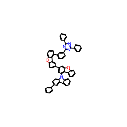 c1ccc(-c2ccc3c(c2)c2ccccc2n3-c2cc(-c3ccc4oc5cccc(-c6cccc(-c7nc(-c8ccccc8)nc(-c8ccccc8)n7)c6)c5c4c3)cc3oc4ccccc4c23)cc1